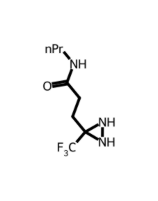 CCCNC(=O)CCC1(C(F)(F)F)NN1